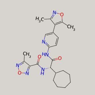 Cc1nonc1C(=O)N[C@H](C(=O)Nc1ccc(-c2c(C)noc2C)cn1)C1CCCCCC1